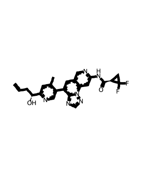 C=CC[C@@H](O)c1cc(C)c(-c2cc3cnc(NC(=O)[C@H]4CC4(F)F)cc3n3ncnc23)cn1